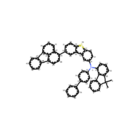 CC1(C)c2ccccc2-c2c(N(c3ccc(-c4ccccc4)cc3)c3ccc4sc5ccc(-c6ccc7c8c(cccc68)-c6ccccc6-7)cc5c4c3)cccc21